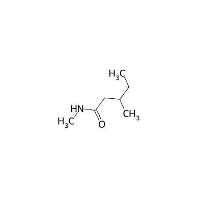 CCC(C)CC(=O)NC